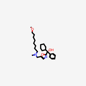 COCCCCCCCCN(C)Cc1cnc([C@](O)(c2ccccc2)C2CCCCC2)o1